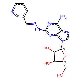 Nc1nc(NN=Cc2cccnc2)nc2c1ncn2[C@@H]1O[C@H](CO)C(O)C1O